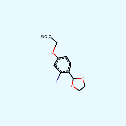 CCOC(=O)COc1ccc(C2OCCO2)c(I)c1